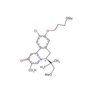 COCCCOc1cc2c(cc1Cl)-c1cc(=O)c(C(=O)O)cn1[C@H](C(C)(C)COC)C2